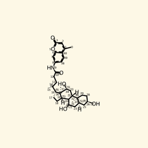 Cc1cc(=O)oc2cc(NC(=O)CC[C@@H](C)[C@H]3CC[C@H]4C5[C@H](O)C[C@@H]6C[C@H](O)CC[C@]6(C)[C@H]5C[C@H](O)[C@]34C)ccc12